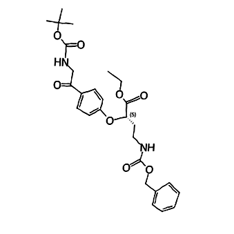 CCOC(=O)[C@H](CCNC(=O)OCc1ccccc1)Oc1ccc(C(=O)CNC(=O)OC(C)(C)C)cc1